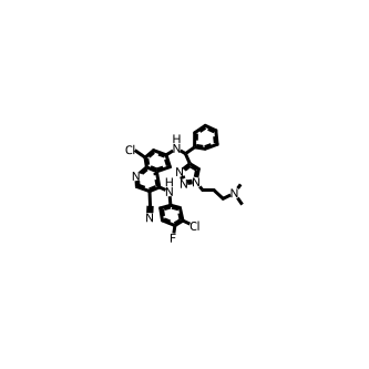 CN(C)CCCn1cc(C(Nc2cc(Cl)c3ncc(C#N)c(Nc4ccc(F)c(Cl)c4)c3c2)c2ccccc2)nn1